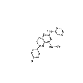 CC(C)Nc1nc(Nc2ccccc2)nc2ccc(-c3ccc(F)cc3)nc12